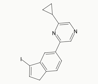 IC1=CCc2ccc(-c3cncc(C4CC4)n3)cc21